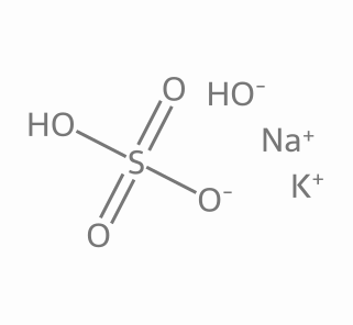 O=S(=O)([O-])O.[K+].[Na+].[OH-]